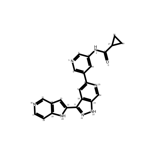 O=C(Nc1cncc(-c2cc3c(-c4cc5cnccc5[nH]4)n[nH]c3cn2)c1)C1CC1